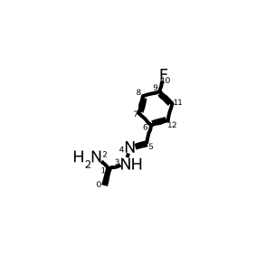 C=C(N)N/N=C/c1ccc(F)cc1